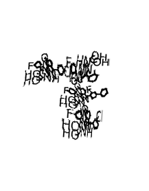 Cc1ccccc1-c1nc(NC(CO)CO)nc2c1ccc(=O)n2-c1ccc(F)cc1F.O=c1ccc2c(-c3ccc(-c4ccccc4)cc3F)nc(NC(CO)CO)nc2n1-c1ccc(F)cc1F.O=c1ccc2c(-c3ccc(Cl)cc3)nc(NC(CO)CO)nc2n1-c1ccc(F)cc1F.O=c1ccc2c(-c3cccc(Cl)c3)nc(NC(CO)CO)nc2n1-c1ccc(F)cc1F